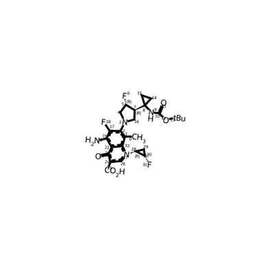 Cc1c(N2C[C@H](F)[C@@H](C3(NC(=O)OC(C)(C)C)CC3)C2)c(F)c(N)c2c(=O)c(C(=O)O)cn([C@@H]3C[C@@H]3F)c12